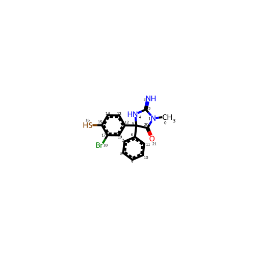 CN1C(=N)NC(c2ccccc2)(c2ccc(S)c(Br)c2)C1=O